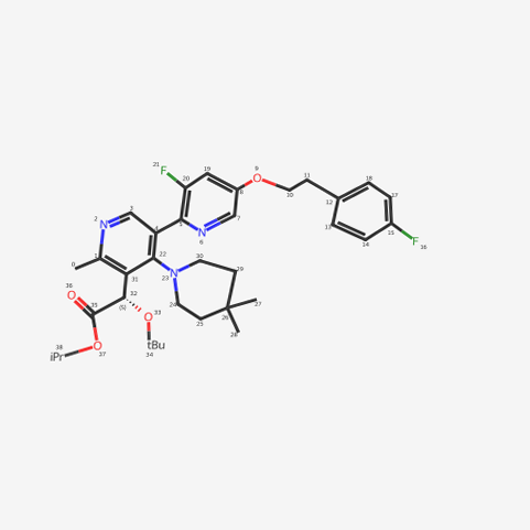 Cc1ncc(-c2ncc(OCCc3ccc(F)cc3)cc2F)c(N2CCC(C)(C)CC2)c1[C@H](OC(C)(C)C)C(=O)OC(C)C